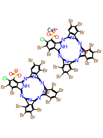 O=S(=O)([O-])c1c(Cl)c(Br)c(Br)c2c3nc4nc(nc5c6c(Br)c(Br)c(Br)c(Br)c6c(nc6nc(nc([nH]3)c12)-c1cc(Br)c(Br)c(Br)c1-6)n5Br)-c1c(Br)c(Br)c(Br)c(Br)c1-4.O=S(=O)([O-])c1c(Cl)c(Br)c(Br)c2c3nc4nc(nc5c6c(Br)c(Br)c(Br)c(Br)c6c(nc6nc(nc([nH]3)c12)-c1cc(Br)c(Br)c(Br)c1-6)n5Br)-c1c(Br)c(Br)c(Br)c(Br)c1-4.[Cu+2]